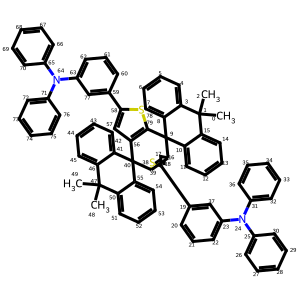 CC1(C)c2ccccc2C2(c3ccccc31)c1cc(-c3cccc(N(c4ccccc4)c4ccccc4)c3)sc1C1(c3ccccc3C(C)(C)c3ccccc31)c1cc(-c3cccc(N(c4ccccc4)c4ccccc4)c3)sc12